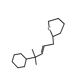 CC(C)(C=CCC1CCCCC1)C1CCCCC1